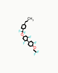 C/C=C/c1ccc(C(F)(F)Oc2cc(F)c(-c3ccc(OC=C(F)F)c(F)c3)c(F)c2)cc1